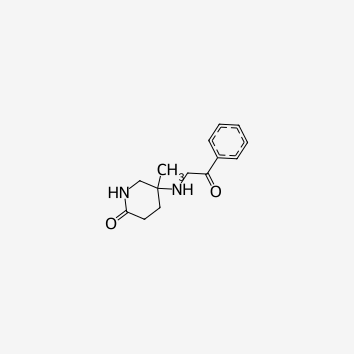 CC1(NCC(=O)c2ccccc2)CCC(=O)NC1